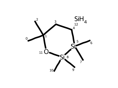 CC1(C)CC[Si](C)(C)[Si](C)(C)O1.[SiH4]